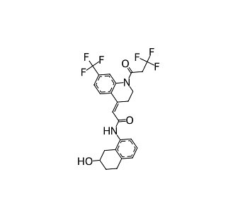 O=C(C=C1CCN(C(=O)CC(F)(F)F)c2cc(C(F)(F)F)ccc21)Nc1cccc2c1CC(O)CC2